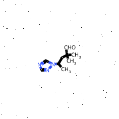 CC(CC(C)(C)C=O)n1cncn1